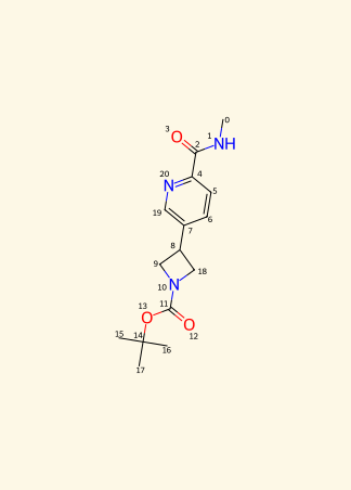 CNC(=O)c1ccc(C2CN(C(=O)OC(C)(C)C)C2)cn1